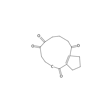 O=C1CCCC(=O)C2=C(CCC2)C(=O)CCCC1=O